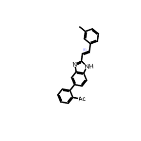 CC(=O)c1ccccc1-c1ccc2[nH]c(/C=C/c3cccc(C)c3)nc2c1